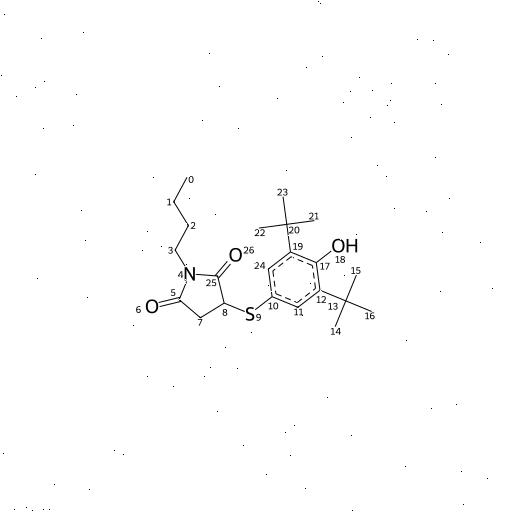 CCCCN1C(=O)CC(Sc2cc(C(C)(C)C)c(O)c(C(C)(C)C)c2)C1=O